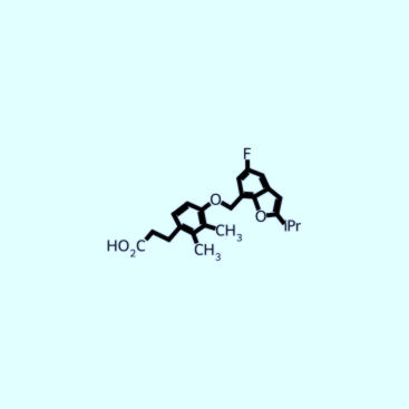 Cc1c(CCC(=O)O)ccc(OCc2cc(F)cc3cc(C(C)C)oc23)c1C